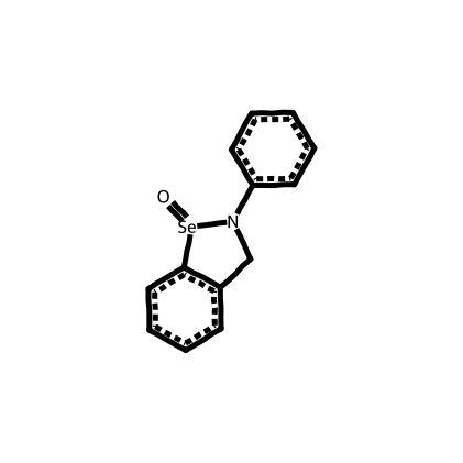 O=[Se]1c2ccccc2CN1c1ccccc1